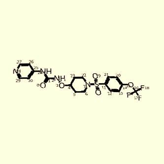 O=C(NOC1CCN(S(=O)(=O)c2ccc(OC(F)(F)F)cc2)CC1)Nc1ccncc1